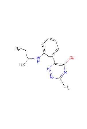 CCC(C)Nc1ccccc1-c1nnc(C)nc1O